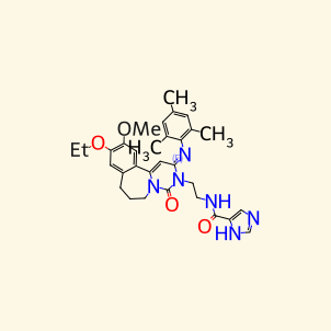 CCOc1cc2c(cc1OC)-c1c/c(=N\c3c(C)cc(C)cc3C)n(CCNC(=O)c3cnc[nH]3)c(=O)n1CCC2